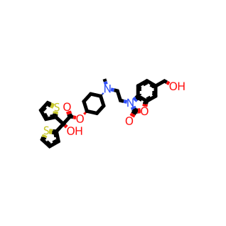 CN(CCn1c(=O)oc2cc(CO)ccc21)[C@H]1CC[C@H](OC(=O)C(O)(c2cccs2)c2cccs2)CC1